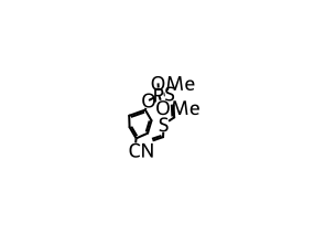 C=CSC=C.COP(=S)(OC)Oc1ccc(C#N)cc1